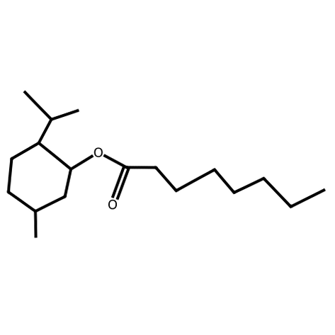 CCCCCCCC(=O)OC1CC(C)CCC1C(C)C